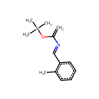 C=C(/N=C/c1ccccc1C)O[Si](C)(C)C